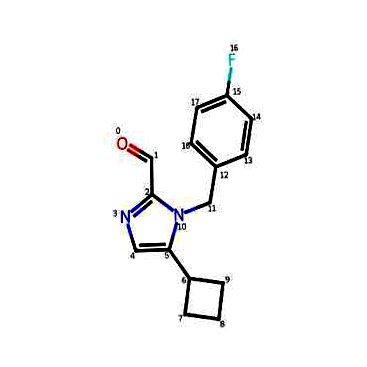 O=Cc1ncc(C2CCC2)n1Cc1ccc(F)cc1